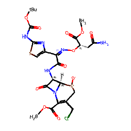 BOC(=O)C1=C(CCl)C[S+]([O-])[C@@H]2[C@H](NC(=O)/C(=N\O[C@@H](CC(N)=O)C(=O)OB)c3csc(NC(=O)OC(C)(C)C)n3)C(=O)N12